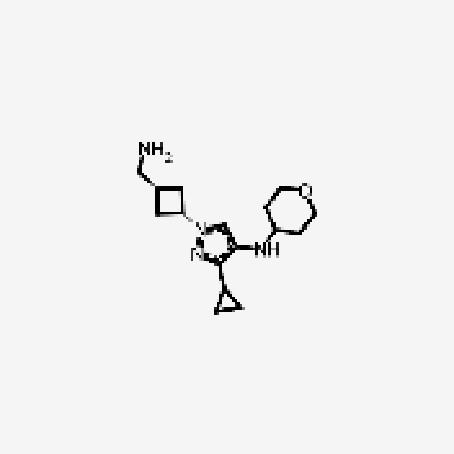 NC[C@H]1C[C@H](n2cc(NC3CCOCC3)c(C3CC3)n2)C1